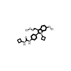 CCON=Cc1c(-c2ccc(NC(=O)NC3CCC3)cc2)n(C2CCC2)c2cc(OCC)ccc12